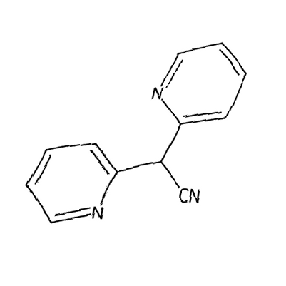 N#CC(c1ccccn1)c1ccccn1